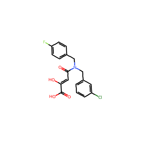 O=C(O)C(O)=CC(=O)N(Cc1ccc(F)cc1)Cc1cccc(Cl)c1